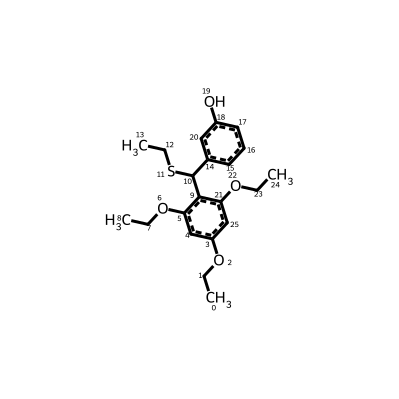 CCOc1cc(OCC)c(C(SCC)c2cccc(O)c2)c(OCC)c1